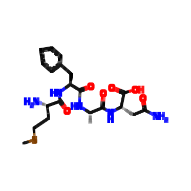 CSCC[C@H](N)C(=O)N[C@@H](Cc1ccccc1)C(=O)N[C@@H](C)C(=O)N[C@@H](CC(N)=O)C(=O)O